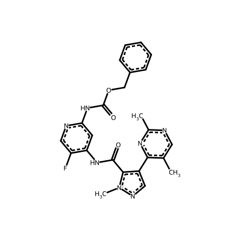 Cc1ncc(C)c(-c2cnn(C)c2C(=O)Nc2cc(NC(=O)OCc3ccccc3)ncc2F)n1